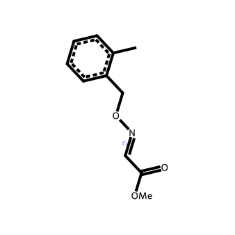 COC(=O)/C=N/OCc1ccccc1C